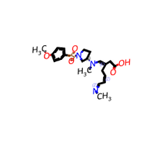 C/N=C\C=C/C/C(=C\N(C)[C@H]1CCN(S(=O)(=O)c2ccc(OC)cc2)C1)CC(=O)O